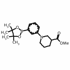 COC(=O)C1CCCN(c2cccc(B3OC(C)(C)C(C)(C)O3)c2)C1